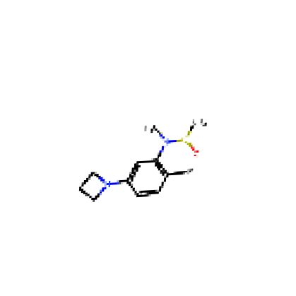 CC(C)c1ccc(N2CCC2)cc1N(C)[S+](C)[O-]